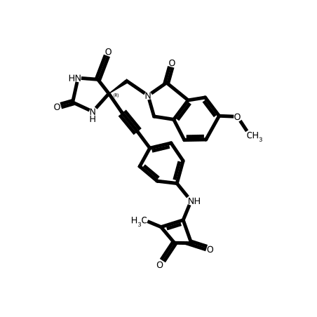 COc1ccc2c(c1)C(=O)N(C[C@@]1(C#Cc3ccc(Nc4c(C)c(=O)c4=O)cc3)NC(=O)NC1=O)C2